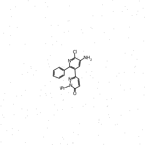 CC(C)n1nc(-c2cc(N)c(Cl)nc2-c2ccccc2)ccc1=O